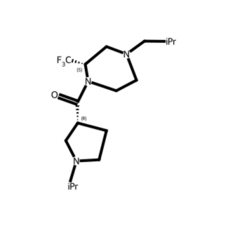 CC(C)CN1CCN(C(=O)[C@@H]2CCN(C(C)C)C2)[C@H](C(F)(F)F)C1